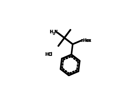 CCCCCCC(c1ccccc1)C(C)(C)N.Cl